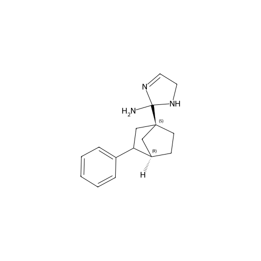 NC1([C@@]23CC[C@H](C2)C(c2ccccc2)C3)N=CCN1